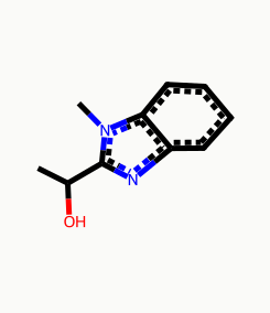 CC(O)c1nc2ccccc2n1C